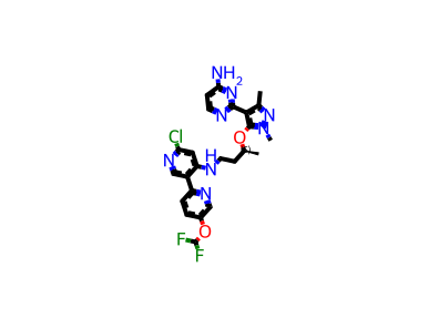 Cc1nn(C)c(O[C@@H](C)CCNc2cc(Cl)ncc2-c2ccc(OC(F)F)cn2)c1-c1nccc(N)n1